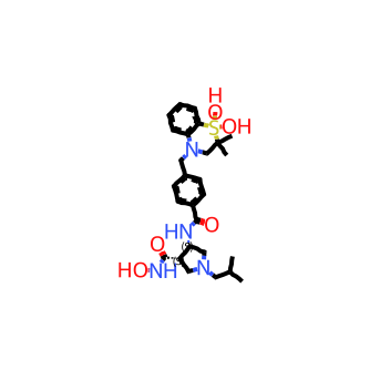 CC(C)CN1C[C@H](C(=O)NO)[C@H](NC(=O)c2ccc(CN3CC(C)(C)S(O)(O)c4ccccc43)cc2)C1